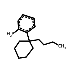 CCCCC1(c2ccccc2P)CCCCC1